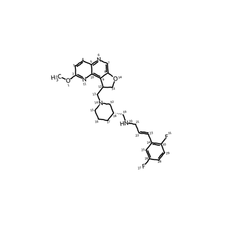 COc1ccc2ncc3c(c2n1)C(CN1CCC[C@@H](CNCC=Cc2cc(F)ccc2F)C1)CO3